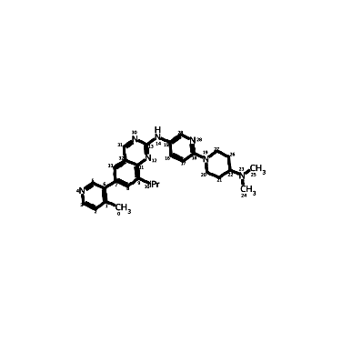 Cc1ccncc1-c1cc(C(C)C)c2nc(Nc3ccc(N4CCC(N(C)C)CC4)nc3)ncc2c1